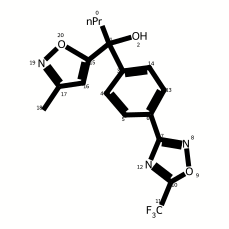 CCCC(O)(c1ccc(-c2noc(C(F)(F)F)n2)cc1)c1cc(C)no1